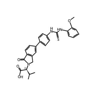 COc1ccccc1NC(=S)Nc1ccc(-c2ccc3c(c2)CN([C@H](C(=O)O)C(C)C)C3=O)cc1